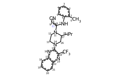 Cc1ccccc1N/C(=N\C#N)N1CCN(c2nc3ccccc3nc2C(F)(F)F)CC1C(C)C